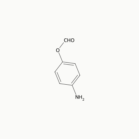 Nc1ccc(OC=O)cc1